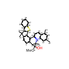 COC1(O)C2c3ccc4c(c3-c3ccc5c(C)cc(C)cc5[n+]3C21C)-c1sc2ccccc2c1C4(C)C